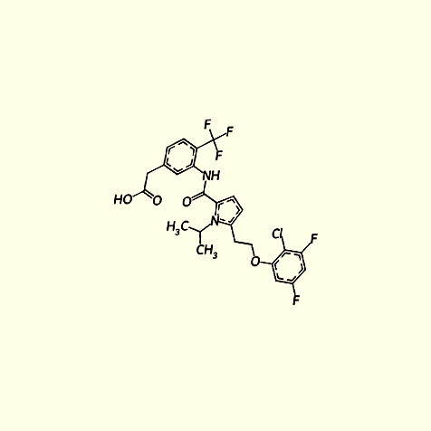 CC(C)n1c(CCOc2cc(F)cc(F)c2Cl)ccc1C(=O)Nc1cc(CC(=O)O)ccc1C(F)(F)F